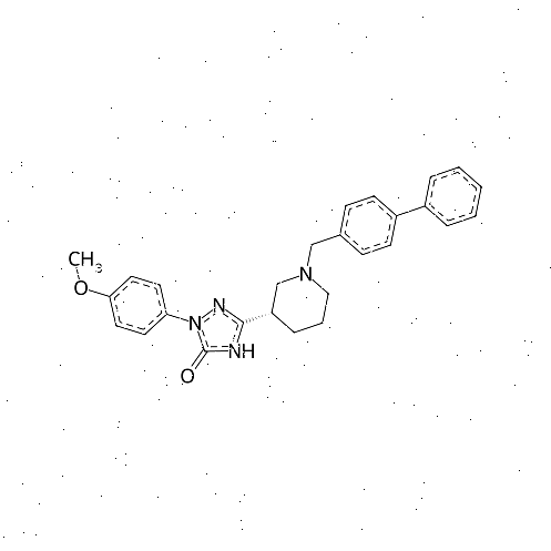 COc1ccc(-n2nc([C@H]3CCCN(Cc4ccc(-c5ccccc5)cc4)C3)[nH]c2=O)cc1